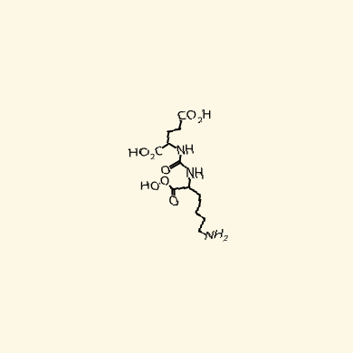 NCCCCC(NC(=O)NC(CCC(=O)O)C(=O)O)C(=O)OO